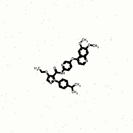 CCOc1cnn(-c2ccc(C(C)C)cc2)c1C(=O)Nc1ccc(Oc2ccnc3cc(OC)c(OC)cc23)cn1